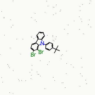 CC(C)(C)c1ccc(-n2c3ccccc3c3ccc(Br)c(Br)c32)cc1